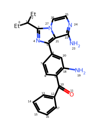 CCC(CC)c1nc(-c2ccc(C(=O)c3ccccc3)c(N)c2)c2c(N)nccn12